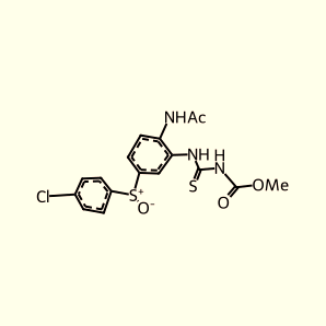 COC(=O)NC(=S)Nc1cc([S+]([O-])c2ccc(Cl)cc2)ccc1NC(C)=O